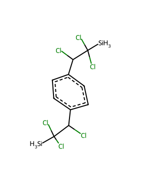 [SiH3]C(Cl)(Cl)C(Cl)c1ccc(C(Cl)C([SiH3])(Cl)Cl)cc1